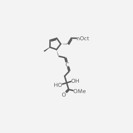 CCCCCCCCC=C[C@H]1C=C[C@H](C)[C@H]1CC=C=CCC(O)(O)C(=O)OC